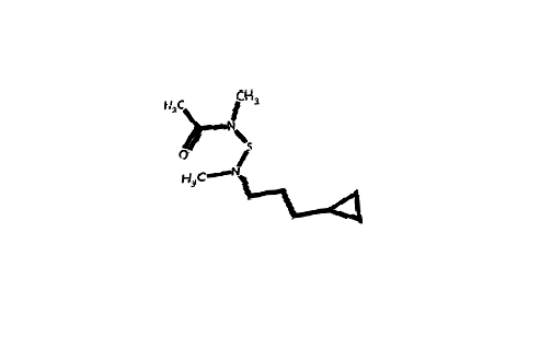 CC(=O)N(C)SN(C)CCCC1CC1